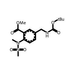 COC(=O)c1cc(CNC(=O)OC(C)(C)C)ccc1N(C)S(C)(=O)=O